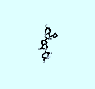 O=C1CCC(N2Cc3cc(C(=O)N[C@@H](c4ccc(F)cn4)C4CCC4)ccc3C2=O)C(=O)N1